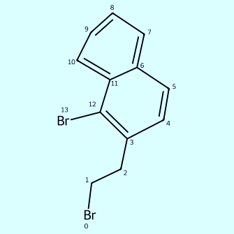 BrCCc1ccc2ccccc2c1Br